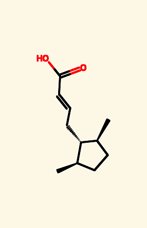 C[C@@H]1CC[C@H](C)[C@H]1C/C=C/C(=O)O